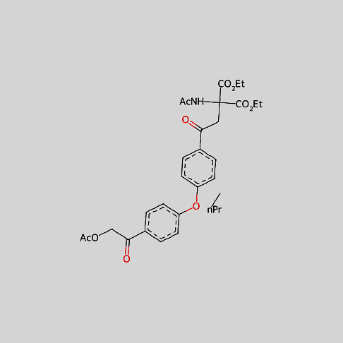 CCCC.CCOC(=O)C(CC(=O)c1ccc(Oc2ccc(C(=O)COC(C)=O)cc2)cc1)(NC(C)=O)C(=O)OCC